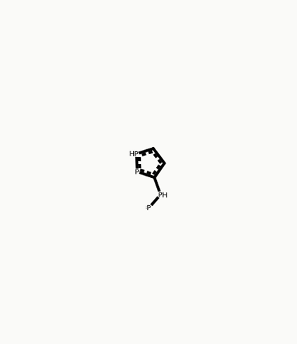 [P]Pc1cc[pH]p1